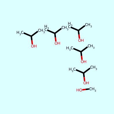 CC(C)O.CC(C)O.CC(C)O.CC(C)O.CC(C)O.CO